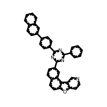 c1ccc(-c2nc(-c3ccc(-c4ccc5ccccc5c4)cc3)nc(-c3ccc4ccc5oc6ccncc6c5c4c3)n2)cc1